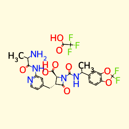 CC(N)C(=O)Nc1cc(C[C@H]2C(=O)N(C(=O)NC(C)c3ccc4c(c3)OC(F)(F)O4)[C@@H]2C(=O)O)ccn1.O=C(O)C(F)(F)F